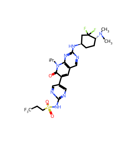 CC(C)n1c(=O)c(-c2cnc(NS(=O)(=O)CCC(F)(F)F)nc2)cc2cnc(N[C@@H]3CC[C@@H](N(C)C)C(F)(F)C3)nc21